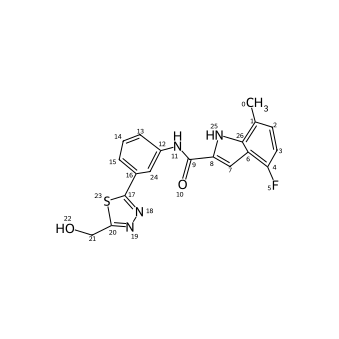 Cc1ccc(F)c2cc(C(=O)Nc3cccc(-c4nnc(CO)s4)c3)[nH]c12